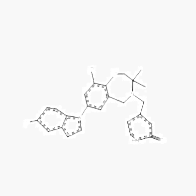 CC1(C)COc2c(Cl)cc(-n3ccc4cc(F)ccc43)cc2CN1Cc1cc[nH]c(=O)c1